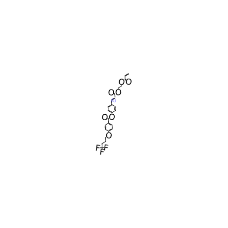 C=CC(=O)OCCOC(=O)/C=C/c1ccc(OC(=O)c2ccc(OCCCC(F)(F)F)cc2)cc1